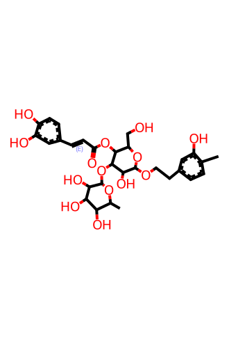 Cc1ccc(CCOC2OC(CO)C(OC(=O)/C=C/c3ccc(O)c(O)c3)C(OC3OC(C)C(O)C(O)C3O)C2O)cc1O